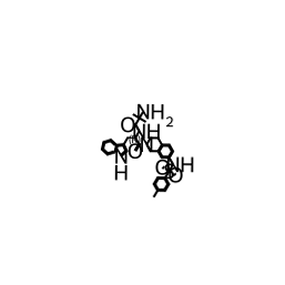 Cc1ccc(S(=O)(=O)Nc2ccc3c(c2)CN(C(=O)[C@@H](Cc2c[nH]c4ccccc24)NC(=O)C(C)(C)N)CC3)cc1